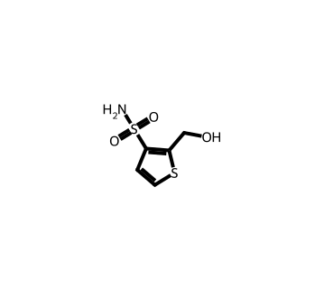 NS(=O)(=O)c1ccsc1CO